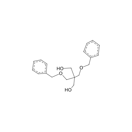 OCC(CO)(COCc1ccccc1)COCc1ccccc1